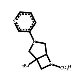 CC(C)(C)C12CN(c3cccnc3)CC1N(C(=O)O)C2